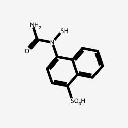 NC(=O)N(S)c1ccc(S(=O)(=O)O)c2ccccc12